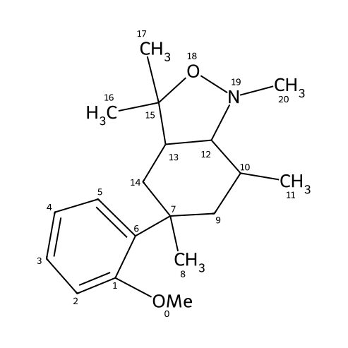 COc1ccccc1C1(C)CC(C)C2C(C1)C(C)(C)ON2C